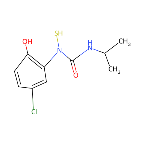 CC(C)NC(=O)N(S)c1cc(Cl)ccc1O